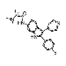 C[C@@H](C(=O)Nc1ccc2c(-c3ccncc3)c(-c3ccc(F)cc3)[nH]c2n1)N(C)C